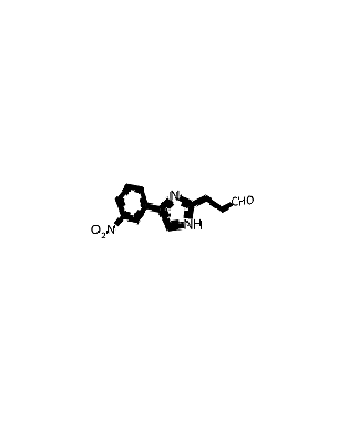 O=CCCc1nc(-c2cccc([N+](=O)[O-])c2)c[nH]1